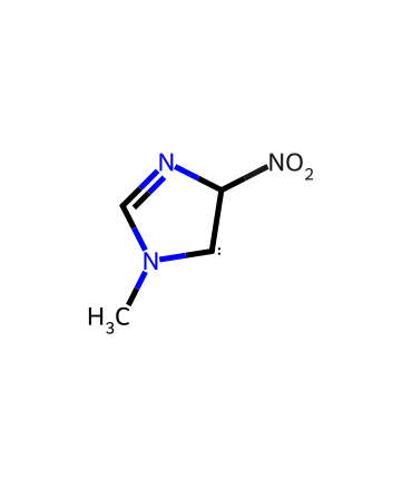 CN1[C]C([N+](=O)[O-])N=C1